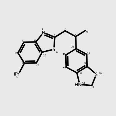 CC(C)c1ccc2nc(CC(C)c3ccc4c(c3)SCN4)sc2c1